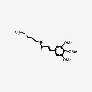 COc1cc(C=CC(=O)NCCCO[N+](=O)[O-])cc(OC)c1OC